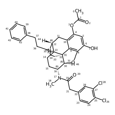 CC(=O)Oc1cc(O)c2c3c1C[C@@H]1[C@@H]4CC[C@@H](N(C)C(=O)Cc5ccc(Cl)c(Cl)c5)[C@H](O2)[C@]34CCN1CCc1ccccc1